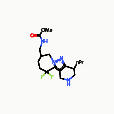 CCCC1CNCc2c1nn1c2C(F)(F)CCC(CNC(=O)OC)C1